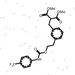 COC(=O)C(Cc1cccc(CCOC(=O)Nc2ccc(C(F)(F)F)cc2)c1)C(=O)OC